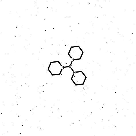 C1CCN([S+](N2CCCCC2)N2CCCCC2)CC1.[Cl-]